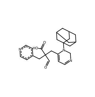 O=CC(CC1=CC=NCN1C12CC3CC(CC(C3)C1)C2)(Cc1ccncc1)C(=O)O